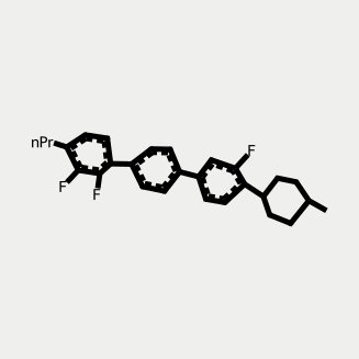 CCCc1ccc(-c2ccc(-c3ccc(C4CCC(C)CC4)c(F)c3)cc2)c(F)c1F